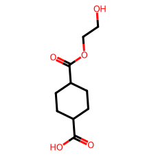 O=C(O)C1CCC(C(=O)OCCO)CC1